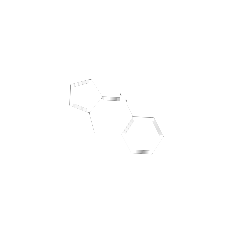 CC1=CC=C/C1=N/c1ccccc1